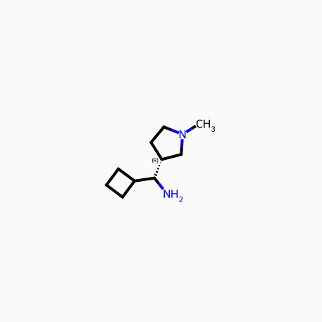 CN1CC[C@@H](C(N)C2CCC2)C1